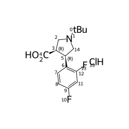 CC(C)(C)N1C[C@H](C(=O)O)[C@H](c2ccc(F)cc2F)C1.Cl